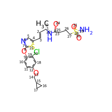 C[C@@H](/C=C/c1cnc(Oc2ccc(OCC3CC3)cc2Cl)s1)NC(=O)CCCS(N)(=O)=O